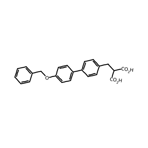 O=C(O)C(Cc1ccc(-c2ccc(OCc3ccccc3)cc2)cc1)C(=O)O